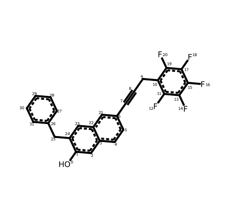 Oc1cc2ccc(C#CCc3c(F)c(F)c(F)c(F)c3F)cc2cc1Cc1ccccc1